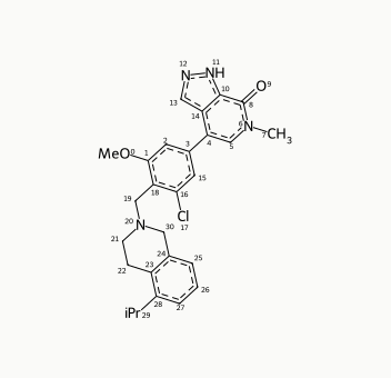 COc1cc(-c2cn(C)c(=O)c3[nH]ncc23)cc(Cl)c1CN1CCc2c(cccc2C(C)C)C1